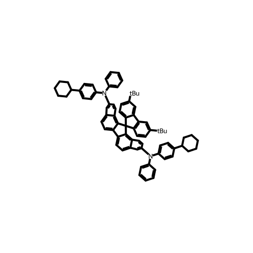 CC(C)(C)c1ccc2c(c1)-c1cc(C(C)(C)C)ccc1C21c2c(ccc3cc(N(c4ccccc4)c4ccc(C5CCCCC5)cc4)ccc23)-c2ccc3cc(N(c4ccccc4)c4ccc(C5CCCCC5)cc4)ccc3c21